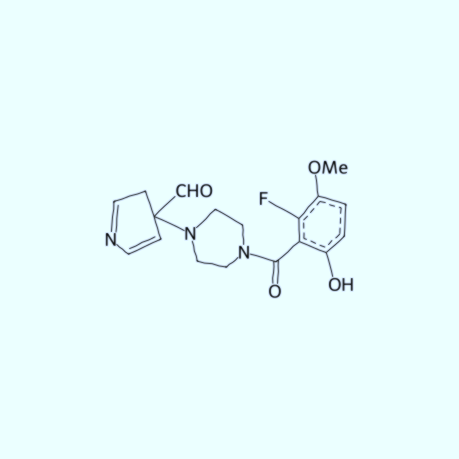 COc1ccc(O)c(C(=O)N2CCN(C3(C=O)C=CN=CC3)CC2)c1F